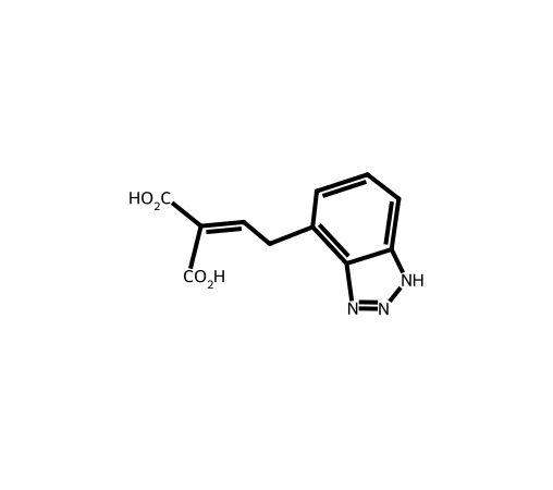 O=C(O)C(=CCc1cccc2[nH]nnc12)C(=O)O